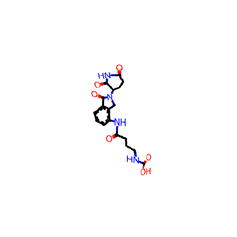 O=C(O)NCCCC(=O)Nc1cccc2c1CN(C1CCC(=O)NC1=O)C2=O